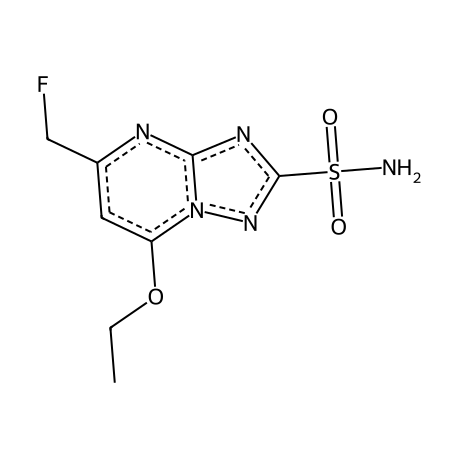 CCOc1cc(CF)nc2nc(S(N)(=O)=O)nn12